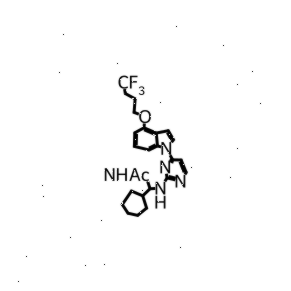 CC(=O)NC(Nc1nccc(-n2ccc3c(OCCCC(F)(F)F)cccc32)n1)C1CCCCC1